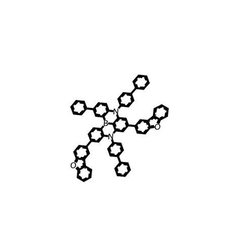 c1ccc(-c2ccc(N3c4ccc(-c5ccccc5)cc4B4c5ccc(-c6ccc7oc8ccccc8c7c6)cc5N(c5ccc(-c6ccccc6)cc5)c5cc(-c6ccc7oc8ccccc8c7c6)cc3c54)cc2)cc1